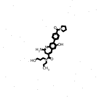 CCCN(CCCO)C(=O)C1=Cc2cc(O)c(-c3ccc(C(=O)N4CCCC4)cc3)cc2N=C(N)C1